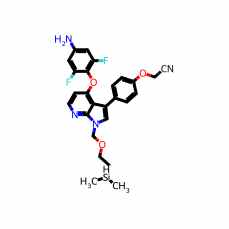 C[SiH](C)CCOCn1cc(-c2ccc(OCC#N)cc2)c2c(Oc3c(F)cc(N)cc3F)ccnc21